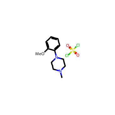 COc1ccccc1N1CCN(C)CC1.O=S(=O)(Cl)Cl